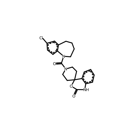 O=C1Nc2ccccc2C2(CCN(C(=O)N3CCCCc4cc(Cl)ccc43)CC2)O1